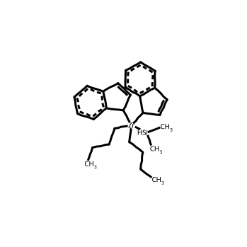 CCC[CH2][Zr]([CH2]CCC)([CH]1C=Cc2ccccc21)([CH]1C=Cc2ccccc21)[SiH](C)C